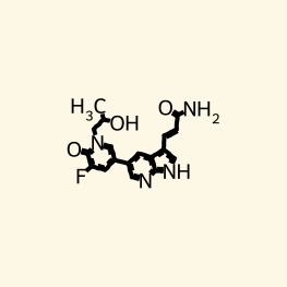 CC(O)Cn1cc(-c2cnc3[nH]cc(C=CC(N)=O)c3c2)cc(F)c1=O